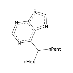 CCCCCCC(CCCCC)c1ncnc2scnc12